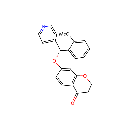 COc1ccccc1[C@H](Oc1ccc2c(c1)OCCC2=O)c1ccncc1